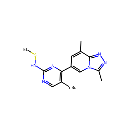 CCCCc1cnc(NSCC)nc1-c1cc(C)c2nnc(C)n2c1